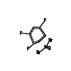 Fc1ccc(F)c(F)c1.[Br][Mg][Br]